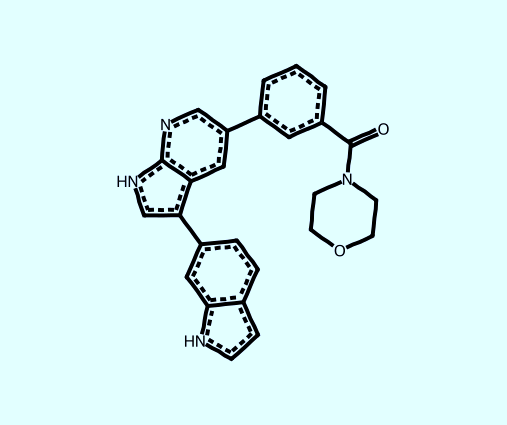 O=C(c1cccc(-c2cnc3[nH]cc(-c4ccc5cc[nH]c5c4)c3c2)c1)N1CCOCC1